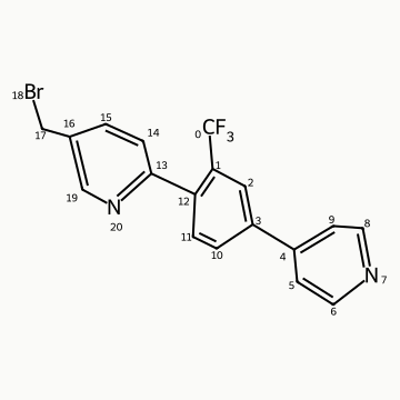 FC(F)(F)c1cc(-c2ccncc2)ccc1-c1ccc(CBr)cn1